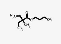 CCC(C)(CC)C(=O)OCCCO